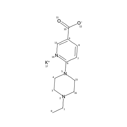 CCN1CCN(c2ccc(C(=O)[O-])cn2)CC1.[K+]